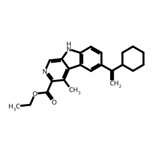 C=C(c1ccc2[nH]c3cnc(C(=O)OCC)c(C)c3c2c1)C1CCCCC1